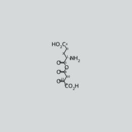 N[C@@H](CCC(=O)O)C(=O)OC(=O)CC(=O)C(=O)O